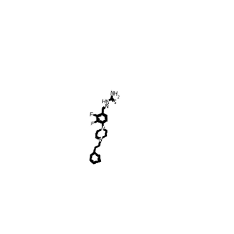 NC(=S)NN=Cc1ccc(N2CCN(CCc3ccccc3)CC2)c(F)c1F